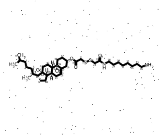 CC(C)CCC[C@@H](C)[C@H]1CC[C@H]2[C@@H]3CC=C4C[C@@H](OC(=O)CSSCC(=O)NCCCCCCCCN)CC[C@]4(C)[C@H]3CC[C@]12C